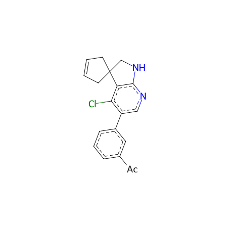 CC(=O)c1cccc(-c2cnc3c(c2Cl)C2(CC=CC2)CN3)c1